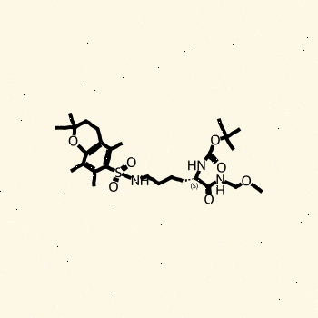 COCNC(=O)[C@H](CCCCNS(=O)(=O)c1c(C)c(C)c2c(c1C)CCC(C)(C)O2)NC(=O)OC(C)(C)C